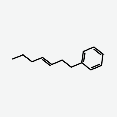 CCCC=CCCc1cc[c]cc1